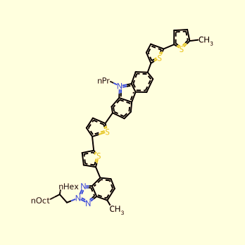 CCCCCCCCC(CCCCCC)Cn1nc2c(C)ccc(-c3ccc(-c4ccc(-c5ccc6c7ccc(-c8ccc(-c9ccc(C)s9)s8)cc7n(CCC)c6c5)s4)s3)c2n1